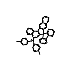 Cc1ccc(N(c2ccc(C)cc2)c2cc3c(c4ccccc24)-c2cc4ccccc4cc2C32c3ccccc3-c3ccccc32)cc1